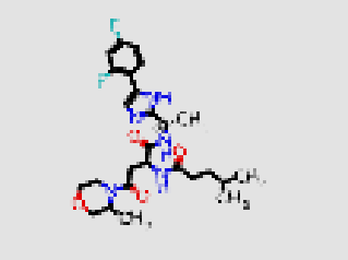 CC(C)CCC(=O)NC(CC(=O)N1CCOCC1C)C(=O)N[C@@H](C)c1ncc(-c2ccc(F)cc2F)[nH]1